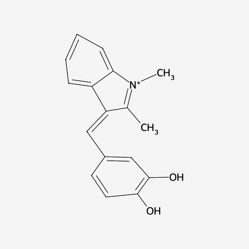 CC1=[N+](C)c2ccccc2/C1=C/c1ccc(O)c(O)c1